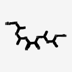 CCCCOC(C)OC(C)OC(=O)C(=O)OC(C)OC(C)OCCCC